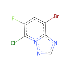 Fc1cc(Br)c2ncnn2c1Cl